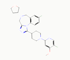 COC1=CC(N2CCC(c3nnc4n3-c3ccc(Cl)cc3CN([C@@H]3CCOC3)C4)CC2)NC=C1F